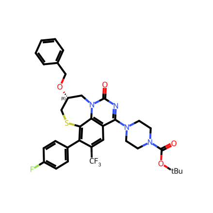 CC(C)(C)OC(=O)N1CCN(c2nc(=O)n3c4c(c(-c5ccc(F)cc5)c(C(F)(F)F)cc24)SC[C@H](OCc2ccccc2)C3)CC1